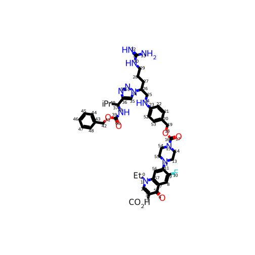 CCn1cc(C(=O)O)c(=O)c2cc(F)c(N3CCN(C(=O)OCc4ccc(NCC(CCCNC(=N)N)n5cc(C(NC(=O)OCc6ccccc6)C(C)C)nn5)cc4)CC3)cc21